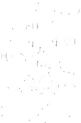 CCCN1CC(C)=CC2=C1N1CN(OC)C=C1C(=O)N2Cc1c(F)ccc(F)c1F